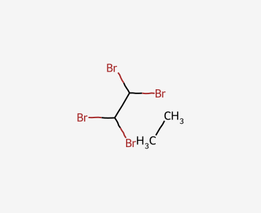 BrC(Br)C(Br)Br.CC